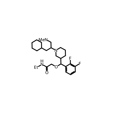 CCNC(=O)COC(c1cccc(F)c1F)C1CCCN(C(CNC)CC2CCCCC2)C1